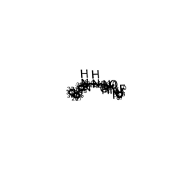 O=C(NCc1ncccc1F)c1coc(CCNCCc2nc3cc(-c4cccc5c4CCCC5)ccc3[nH]2)n1